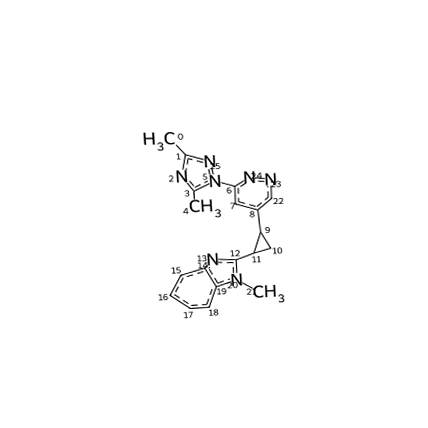 Cc1nc(C)n(-c2cc(C3CC3c3nc4ccccc4n3C)cnn2)n1